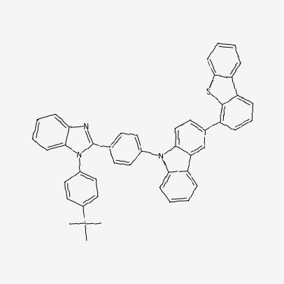 CC(C)(C)c1ccc(-n2c(-c3ccc(-n4c5ccccc5c5cc(-c6cccc7c6sc6ccccc67)ccc54)cc3)nc3ccccc32)cc1